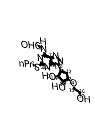 CCCSc1nc(NC=O)c2nnn([C@@H]3C[C@H](OCCO)[C@@H](O)[C@H]3O)c2n1